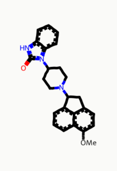 COc1ccc2c3c(cccc13)C(N1CCC(n3c(=O)[nH]c4ccccc43)CC1)C2